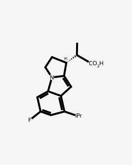 CC(C)c1cc(F)cc2c1cc1n2CC[C@@H]1C(C)C(=O)O